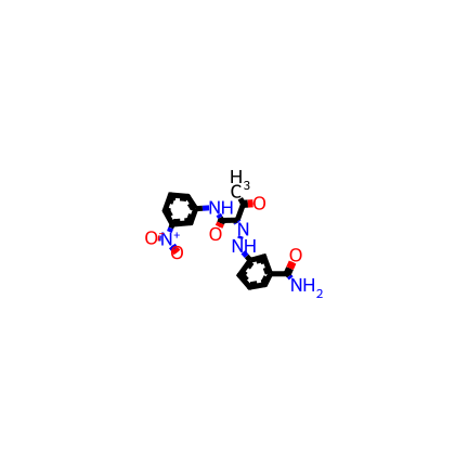 CC(=O)/C(=N/Nc1cccc(C(N)=O)c1)C(=O)Nc1cccc([N+](=O)[O-])c1